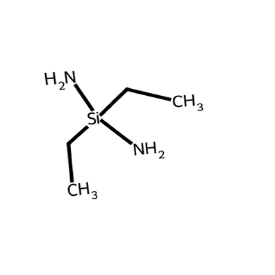 CC[Si](N)(N)CC